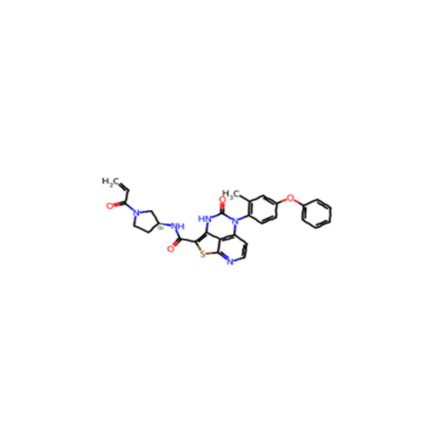 C=CC(=O)N1CC[C@H](NC(=O)c2sc3nccc4c3c2NC(=O)N4c2ccc(Oc3ccccc3)cc2C)C1